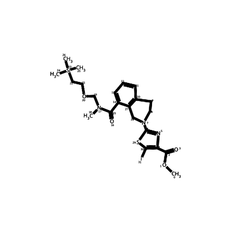 COC(=O)c1nc(N2CCc3cccc(C(=O)N(C)COCC[Si](C)(C)C)c3C2)sc1I